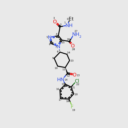 CCNC(=O)c1ncn([C@H]2CC[C@H](C(=O)Nc3ccc(F)cc3Cl)CC2)c1C(N)=O